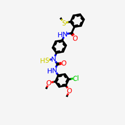 COc1cc(OC)c(NC(=O)N(S)c2ccc(NC(=O)c3ccccc3SC)cc2)cc1Cl